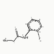 CC(C)(C)CC(=O)Nc1ccccc1F